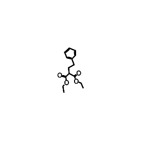 CCOC(=O)C(CCc1ccccc1)C(=O)OCC